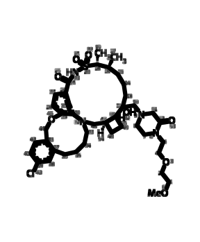 COCCOCCN1CCN(C[C@]2(O)CCC[C@H](C)[C@@H](C)S(=O)(=O)NC(=O)c3ccc4c(c3)N(CCCCc3cc(Cl)ccc3CO4)C[C@@H]3CC[C@H]32)CC1=O